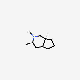 CC(C)N1C[C@@]2(C)CCCC2C[C@H]1C